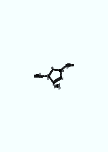 CCCCCCN1C=CN(CCCCCC)C1.Cl